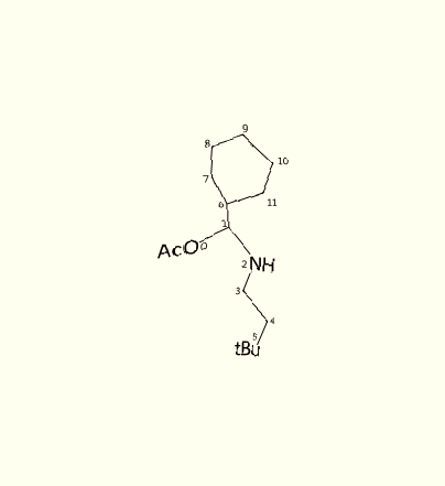 CC(=O)OC(NCCC(C)(C)C)C1CCCCC1